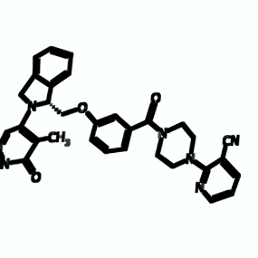 Cc1c(N2Cc3ccccc3[C@@H]2COc2cccc(C(=O)N3CCN(c4ncccc4C#N)CC3)c2)cn[nH]c1=O